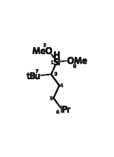 CO[SiH](OC)C(CCC(C)C)C(C)(C)C